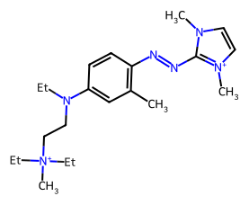 CCN(CC[N+](C)(CC)CC)c1ccc(N=Nc2n(C)cc[n+]2C)c(C)c1